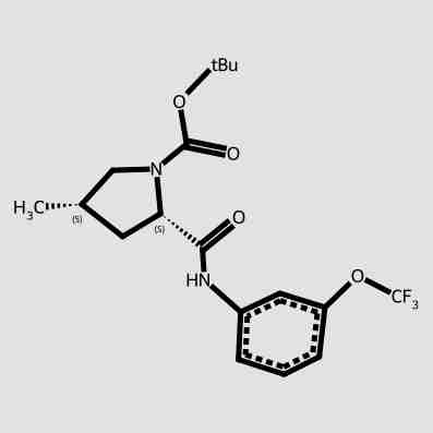 C[C@H]1C[C@@H](C(=O)Nc2cccc(OC(F)(F)F)c2)N(C(=O)OC(C)(C)C)C1